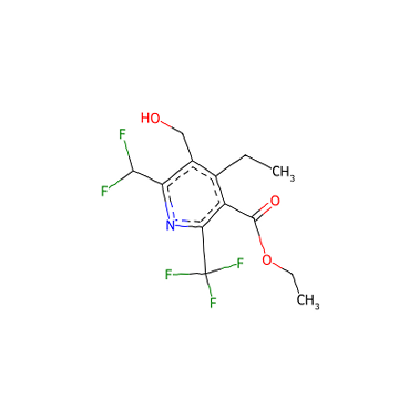 CCOC(=O)c1c(C(F)(F)F)nc(C(F)F)c(CO)c1CC